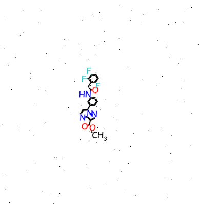 CCOC(=O)c1cnn2c(-c3cccc(NC(=O)Cc4c(F)ccc(F)c4F)c3)ccnc12